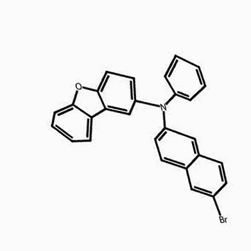 Brc1ccc2cc(N(c3ccccc3)c3ccc4oc5ccccc5c4c3)ccc2c1